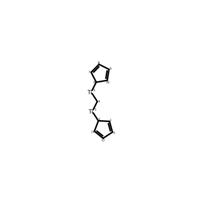 C1=C[CH]([Ti][CH2][Ti][CH]2C=CC=C2)C=C1